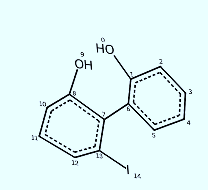 Oc1ccccc1-c1c(O)cccc1I